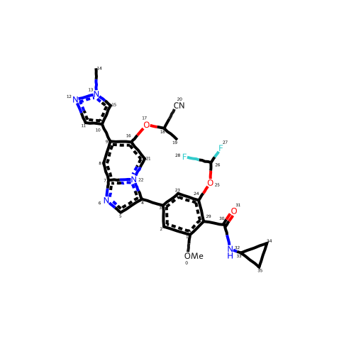 COc1cc(-c2cnc3cc(-c4cnn(C)c4)c(OC(C)C#N)cn23)cc(OC(F)F)c1C(=O)NC1CC1